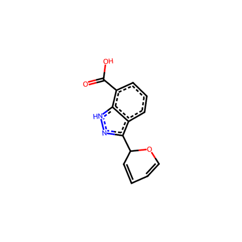 O=C(O)c1cccc2c(C3C=CC=CO3)n[nH]c12